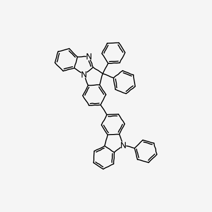 c1ccc(-n2c3ccccc3c3cc(-c4ccc5c(c4)C(c4ccccc4)(c4ccccc4)c4nc6ccccc6n4-5)ccc32)cc1